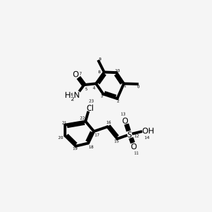 Cc1ccc(C(N)=O)c(C)c1.O=S(=O)(O)C=Cc1ccccc1Cl